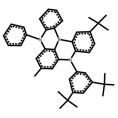 Cc1cc2c3c(c1)N(c1cc(C(C)(C)C)cc(C(C)(C)C)c1)c1ccc(C(C)(C)C)cc1B3c1ccccc1N2c1ccccc1